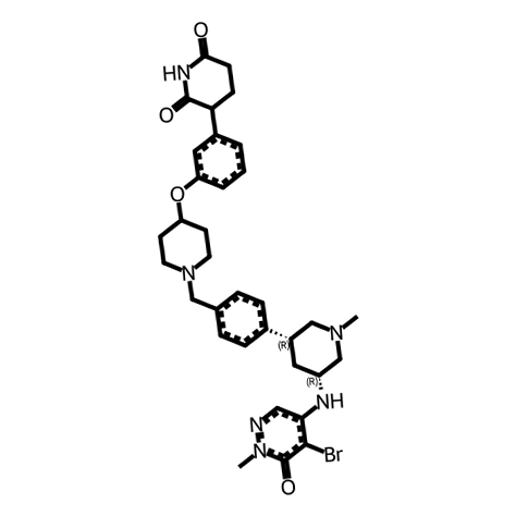 CN1C[C@H](Nc2cnn(C)c(=O)c2Br)C[C@H](c2ccc(CN3CCC(Oc4cccc(C5CCC(=O)NC5=O)c4)CC3)cc2)C1